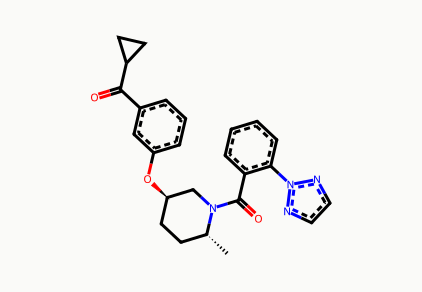 C[C@@H]1CC[C@@H](Oc2cccc(C(=O)C3CC3)c2)CN1C(=O)c1ccccc1-n1nccn1